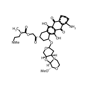 CNCCN(C)C(=O)OCC(=O)[C@@H]1Cc2c(O)c3c(c(O)c2[C@@H](OC2C[C@H]4[C@@H](CO2)O[C@@H]2[C@@H](OC)OCCN24)C1)C(=O)c1c(N)cccc1C3=O